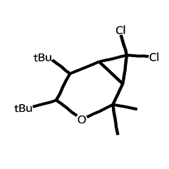 CC(C)(C)C1OC(C)(C)C2C(C1C(C)(C)C)C2(Cl)Cl